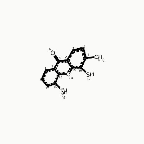 Cc1ccc2c(=O)c3cccc(S)c3oc2c1S